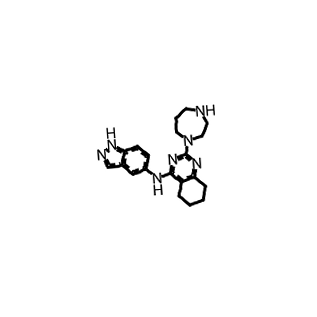 c1cc2[nH]ncc2cc1Nc1nc(N2CCCNCC2)nc2c1CCCC2